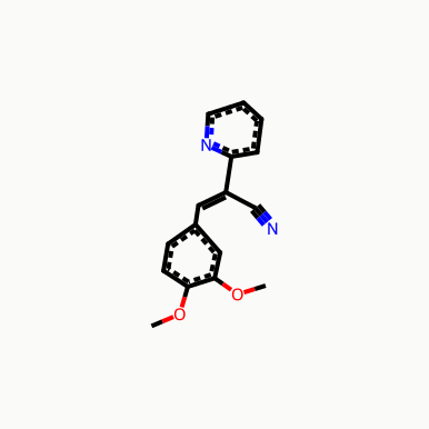 COc1ccc(C=C(C#N)c2ccccn2)cc1OC